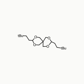 CC(C)(C)CCC1OCC2(CO1)COC(CCC(C)(C)C)OC2